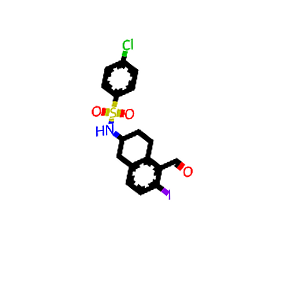 O=Cc1c(I)ccc2c1CCC(NS(=O)(=O)c1ccc(Cl)cc1)C2